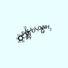 CC(C)c1nc(COCCOC(N)=O)n(C)c1Sc1ccccc1